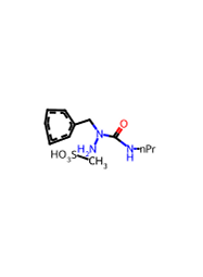 CCCNC(=O)N(N)Cc1ccccc1.CS(=O)(=O)O